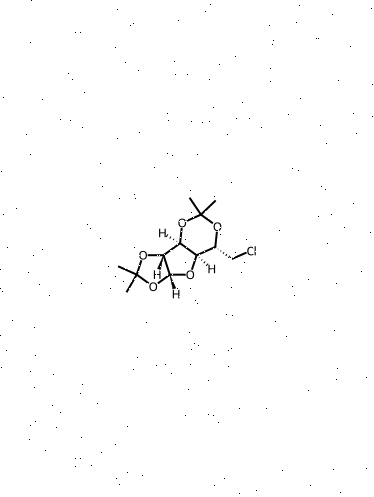 CC1(C)O[C@H]2O[C@H]3[C@H](OC(C)(C)O[C@@H]3CCl)[C@H]2O1